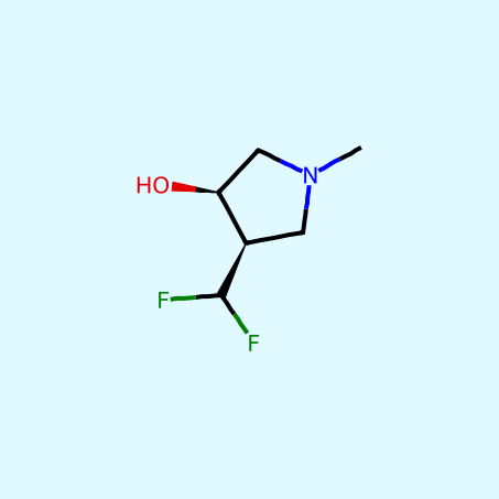 CN1C[C@H](O)[C@H](C(F)F)C1